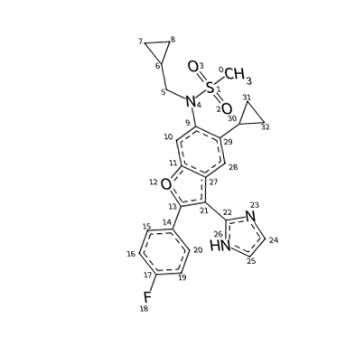 CS(=O)(=O)N(CC1CC1)c1cc2oc(-c3ccc(F)cc3)c(-c3ncc[nH]3)c2cc1C1CC1